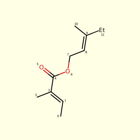 CC=C(C)C(=O)OCC=C(C)CC